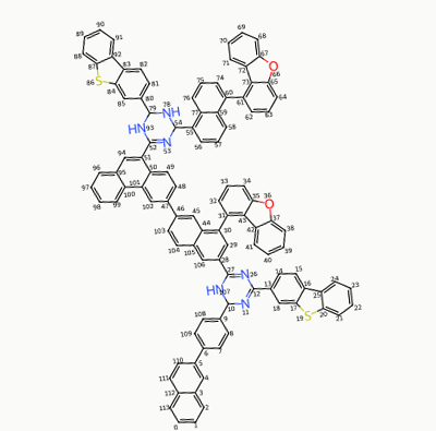 c1ccc2cc(-c3ccc(C4N=C(c5ccc6c(c5)sc5ccccc56)N=C(c5cc(-c6cccc7oc8ccccc8c67)c6cc(-c7ccc8c(C9=NC(c%10cccc%11c(-c%12cccc%13oc%14ccccc%14c%12%13)cccc%10%11)NC(c%10ccc%11c(c%10)sc%10ccccc%10%11)N9)cc9ccccc9c8c7)ccc6c5)N4)cc3)ccc2c1